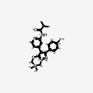 CC(C)C(=O)Nc1cc(-c2c(-c3ccc(F)cc3)nn3c2OC[Si](C)(C)C3)ccn1